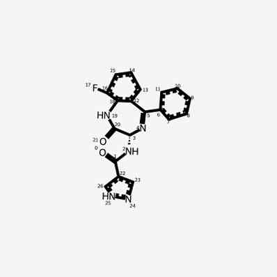 O=C(N[C@H]1N=C(c2ccccc2)c2cccc(F)c2NC1=O)c1cn[nH]c1